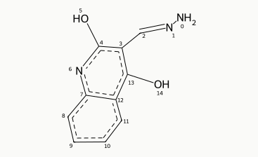 NN=Cc1c(O)nc2ccccc2c1O